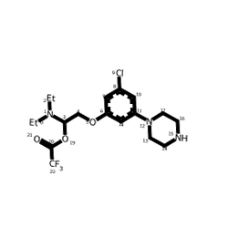 CCN(CC)C(COc1cc(Cl)cc(N2CCNCC2)c1)OC(=O)C(F)(F)F